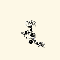 COC(CCCN(c1cc(C)c(/N=c2\sc3ccccc3n2COCC[Si](C)(C)C)nn1)c1nc(C(=O)O)cs1)CO[Si](C)(C)C(C)(C)C